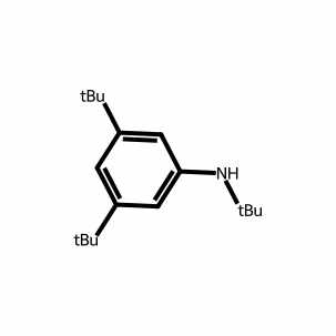 CC(C)(C)Nc1cc(C(C)(C)C)cc(C(C)(C)C)c1